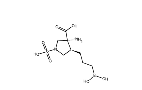 N[C@@]1(C(=O)O)CN(S(=O)(=O)O)C[C@@H]1CCCB(O)O